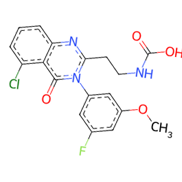 COc1cc(F)cc(-n2c(CCNC(=O)O)nc3cccc(Cl)c3c2=O)c1